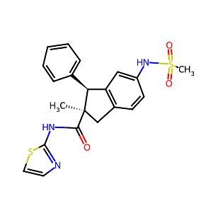 C[C@@]1(C(=O)Nc2nccs2)Cc2ccc(NS(C)(=O)=O)cc2[C@@H]1c1ccccc1